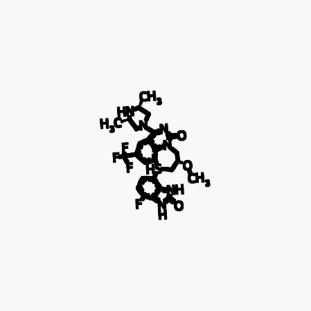 CO[C@H]1Cn2c(=O)nc(N3C[C@@H](C)N[C@@H](C)C3)c3cc(C(F)(F)F)cc(c32)[SH](c2ccc(F)c3[nH]c(=O)[nH]c23)C1